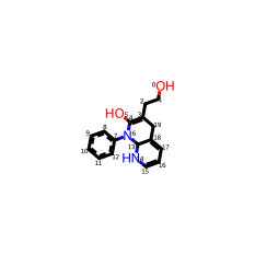 OCCC1=C(O)N(c2ccccc2)C2NC=CC=C2C1